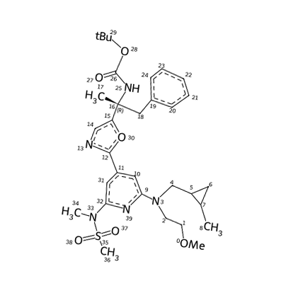 COCCN(CC1CC1C)c1cc(-c2ncc([C@@](C)(Cc3ccccc3)NC(=O)OC(C)(C)C)o2)cc(N(C)S(C)(=O)=O)n1